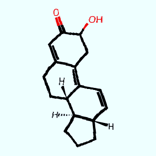 O=C1C=C2CC[C@@H]3C(=C2CC1O)C=C[C@@H]1CCC[C@H]13